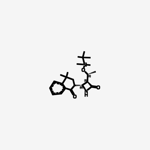 C[C@@H](O[Si](C)(C)C(C)(C)C)[C@H]1C(=O)N[C@@H]1C1CC(C)(C)c2ccccc2C1=O